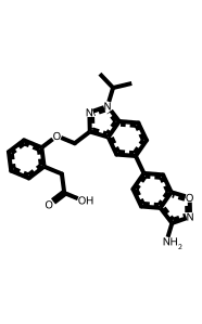 CC(C)n1nc(COc2ccccc2CC(=O)O)c2cc(-c3ccc4c(N)noc4c3)ccc21